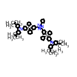 CC(C)(C)c1ccc2c(c1)c1cc(C(C)(C)C)ccc1n2-c1ccc([Si](c2ccccc2)(c2ccccc2)c2ccc(-c3nc(-c4ccccc4)nc(-c4ccc([Si](c5ccccc5)(c5ccccc5)c5ccc(-n6c7ccc(C(C)(C)C)cc7c7cc(C(C)(C)C)ccc76)cc5)cc4)n3)cc2)cc1